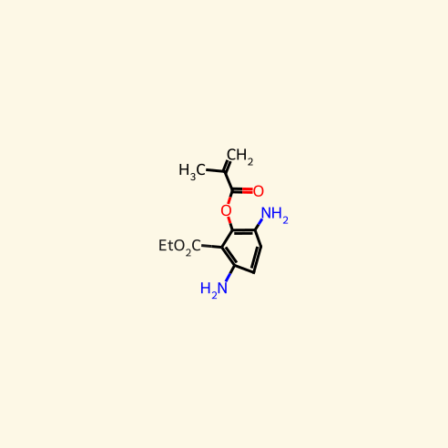 C=C(C)C(=O)Oc1c(N)ccc(N)c1C(=O)OCC